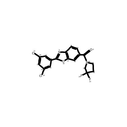 O=C(c1ccc2nc(-c3cc(Cl)cc(Cl)c3)oc2c1)N1CCC(F)(F)C1